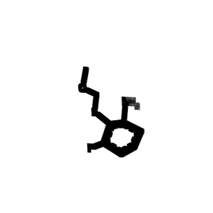 COCSc1c(N)cccc1F